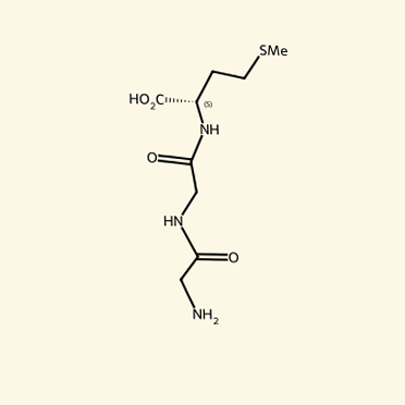 CSCC[C@H](NC(=O)CNC(=O)CN)C(=O)O